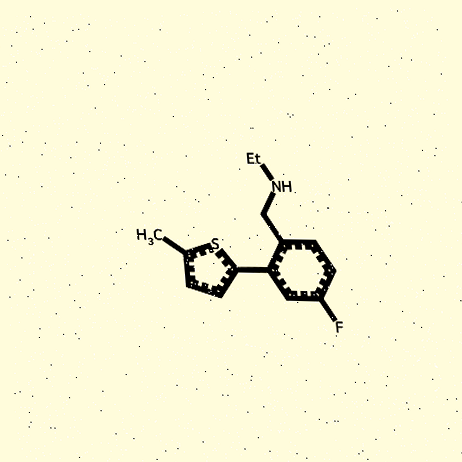 CCNCc1ccc(F)cc1-c1ccc(C)s1